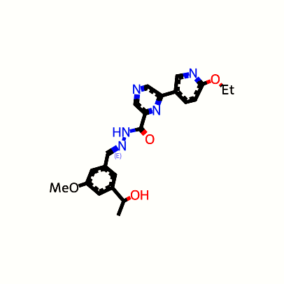 CCOc1ccc(-c2cncc(C(=O)N/N=C/c3cc(OC)cc(C(C)O)c3)n2)cn1